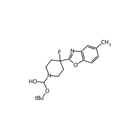 Cc1ccc2oc(C3(F)CCN(C(O)OC(C)(C)C)CC3)nc2c1